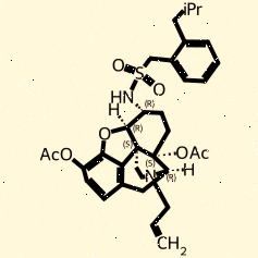 C=CCN1CC[C@]23c4c5ccc(OC(C)=O)c4O[C@H]2[C@H](NS(=O)(=O)Cc2ccccc2CC(C)C)CC[C@@]3(OC(C)=O)[C@H]1C5